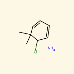 CC1(C)C=CC=CC1Cl.N